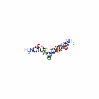 CC1(N)CCN(C(=O)[C@H]2CC[C@H](C(F)(F)c3cc(Cl)nc(N4CCN(S(=O)(=O)c5ccc(N6C[C@H](N)CC6=O)cc5)CC4)c3)CC2)CC1